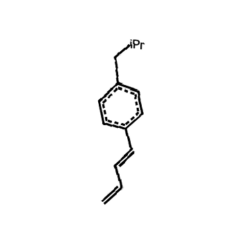 C=CC=Cc1ccc(CC(C)C)cc1